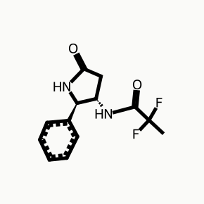 CC(F)(F)C(=O)N[C@H]1CC(=O)N[C@@H]1c1ccccc1